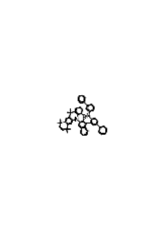 CC1(C)CCC(C)(C)c2cc3c(cc21)N1c2cc4ccccc4c4c2B(c2cccc(c21)C3(C)C)N(c1cccc(-c2ccccc2)c1)c1ccc(-c2ccccc2)cc1-4